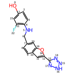 Oc1ccc(NCc2ccc3cc(-c4nn[nH]n4)oc3c2)c(F)c1